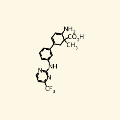 CC1(C(=O)O)CC(c2cccc(Nc3nccc(C(F)(F)F)n3)c2)=CC=C1N